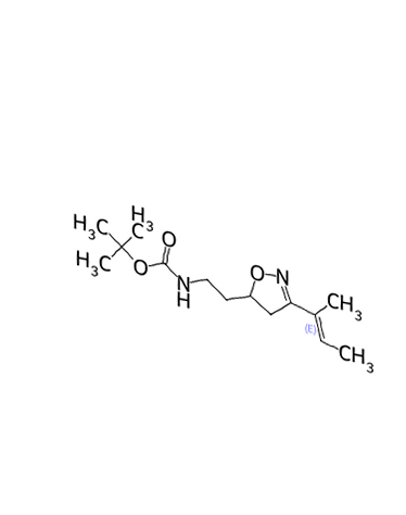 C/C=C(\C)C1=NOC(CCNC(=O)OC(C)(C)C)C1